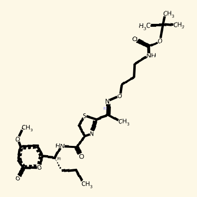 CCC[C@@H](NC(=O)C1CSC(/C(C)=N/OCCCNC(=O)OC(C)(C)C)=N1)c1cc(OC)cc(=O)o1